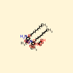 CCCCCCCCCCCCOc1ccc(S(C)(=O)=O)cc1N.CCCCCCCCCCCCOc1ccc(S(C)(=O)=O)cc1N.O=C(O)CC(=O)O